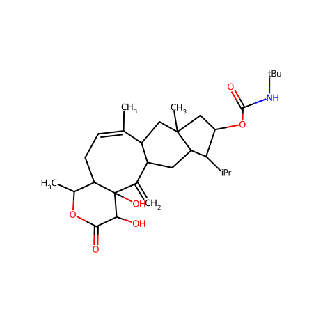 C=C1C2CC3C(C(C)C)C(OC(=O)NC(C)(C)C)CC3(C)CC2/C(C)=C\CC2C(C)OC(=O)C(O)C12O